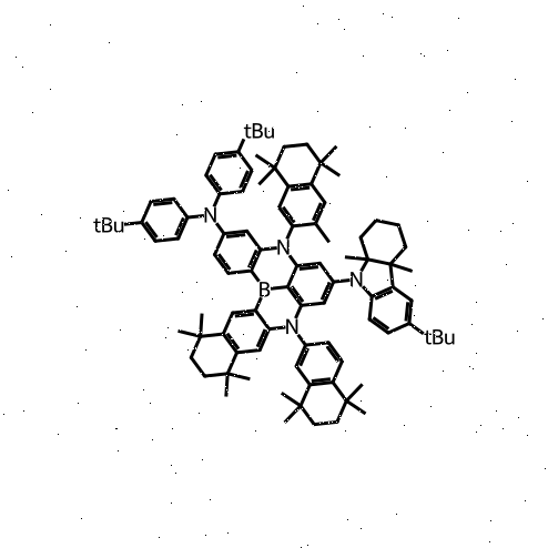 Cc1cc2c(cc1N1c3cc(N(c4ccc(C(C)(C)C)cc4)c4ccc(C(C)(C)C)cc4)ccc3B3c4cc5c(cc4N(c4ccc6c(c4)C(C)(C)CCC6(C)C)c4cc(N6c7ccc(C(C)(C)C)cc7C7(C)CCCCC67C)cc1c43)C(C)(C)CCC5(C)C)C(C)(C)CCC2(C)C